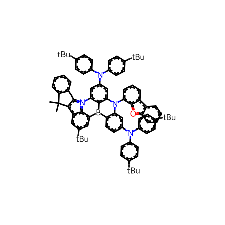 CC(C)(C)c1ccc(N(c2ccc(C(C)(C)C)cc2)c2ccc3c(c2)N(c2cccc4c2oc2ccccc24)c2cc(N(c4ccc(C(C)(C)C)cc4)c4ccc(C(C)(C)C)cc4)cc4c2B3c2cc(C(C)(C)C)cc3c5c(n-4c23)-c2ccccc2C5(C)C)cc1